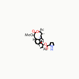 CO[C@H]1C[C@H]2C=C[C@]3(C)[C@@H](C)[C@]2(C[C@H]3[C@H](OC(=O)c2ccc[nH]2)[C@H](C)C(C)=O)/C(C)=C/[C@@H](C)[C@@H](C(C)=O)OC1=O